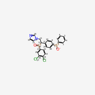 [O-][S+](c1ccccc1)c1ccc(C(Cn2ccnc2)[S+]([O-])c2ccc(Cl)c(Cl)c2)cc1